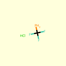 Cl.FC(F)(F)P